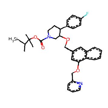 CC([SiH3])C(C)(C)OC(=O)N1CCC(c2ccc(F)cc2)C(OCc2cc(OCc3ccccn3)c3ccccc3c2)C1